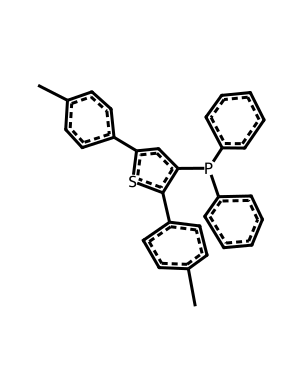 Cc1ccc(-c2cc(P(c3ccccc3)c3ccccc3)c(-c3ccc(C)cc3)s2)cc1